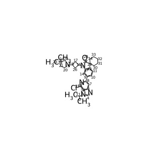 CC(C)n1cnc2cc(-c3ccc4c(c3)N([C@H]3C[C@@H](N5CCC(C)(C)C5)C3)C(=O)C43CCCCC3)nc(Cl)c21